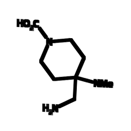 CNC1(CN)CCN(C(=O)O)CC1